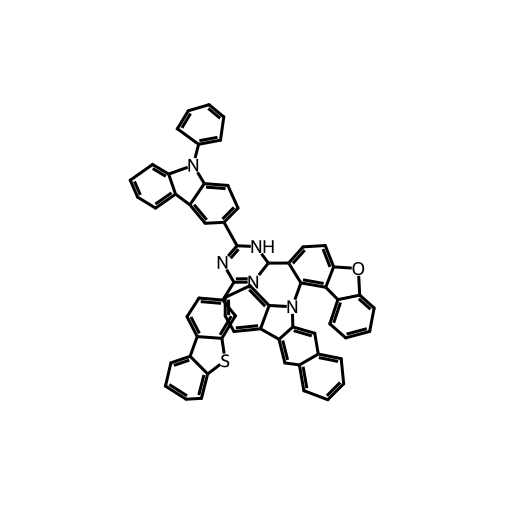 c1ccc(-n2c3ccccc3c3cc(C4=NC(c5ccc6c(c5)sc5ccccc56)=NC(c5ccc6oc7ccccc7c6c5-n5c6ccccc6c6cc7ccccc7cc65)N4)ccc32)cc1